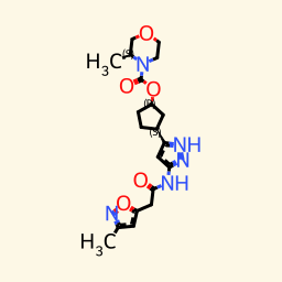 Cc1cc(CC(=O)Nc2cc([C@H]3CC[C@@H](OC(=O)N4CCOC[C@@H]4C)C3)[nH]n2)on1